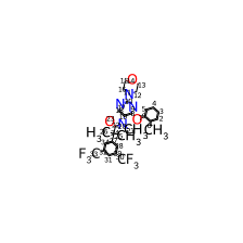 Cc1ccccc1Oc1nc(N2CCOCC2)ncc1N(C)C(=O)C(C)(C)c1cc(C(F)(F)F)cc(C(F)(F)F)c1